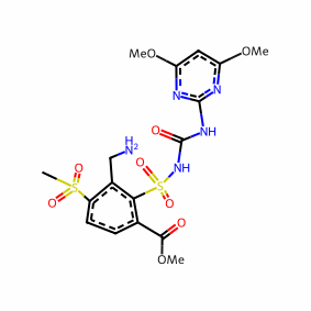 COC(=O)c1ccc(S(C)(=O)=O)c(CN)c1S(=O)(=O)NC(=O)Nc1nc(OC)cc(OC)n1